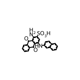 Nc1c(S(=O)(=O)O)cc(Nc2ccc3ccccc3c2)c2c1C(=O)c1ccccc1C2=O